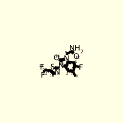 Cc1cc2c(cc1F)n(CC(N)=O)c(=O)n2-c1ncc(C(F)F)s1